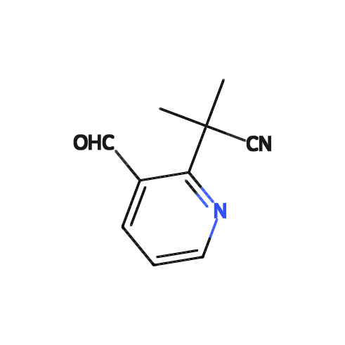 CC(C)(C#N)c1ncccc1C=O